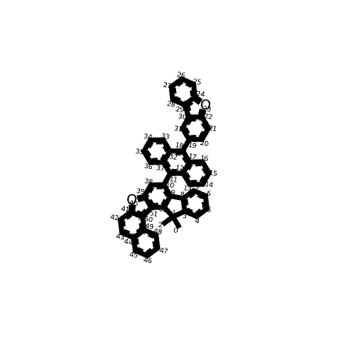 CC1(C)c2ccccc2-c2c(-c3c4ccccc4c(-c4ccc5oc6ccccc6c5c4)c4ccccc34)cc3oc4ccc5ccccc5c4c3c21